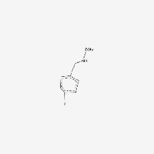 CONCc1ccc(F)cc1